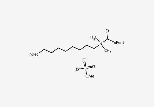 CCCCCCCCCCCCCCCCCC[N+](C)(C)C(CC)CCCCC.COS(=O)(=O)[O-]